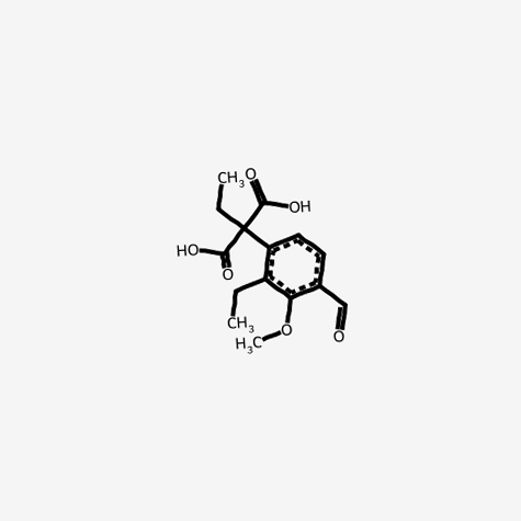 CCc1c(C(CC)(C(=O)O)C(=O)O)ccc(C=O)c1OC